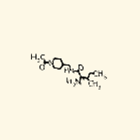 CCC(C)[C@H](N)C(=O)NCC1CCN(C(C)=O)CC1